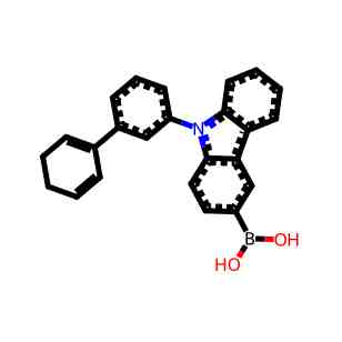 OB(O)c1ccc2c(c1)c1ccccc1n2-c1cccc(C2=CCCC=C2)c1